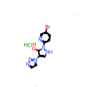 Cl.OC1C(n2ccnn2)=CNN1c1ccc(Br)cn1